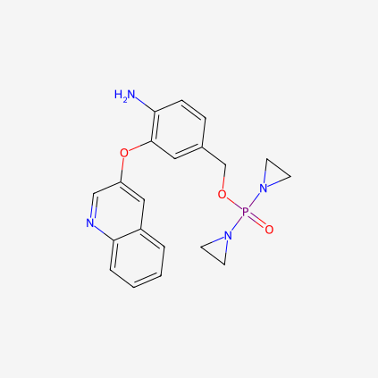 Nc1ccc(COP(=O)(N2CC2)N2CC2)cc1Oc1cnc2ccccc2c1